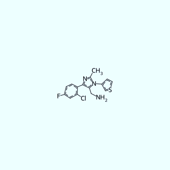 Cc1nc(-c2ccc(F)cc2Cl)c(CN)n1-c1ccsc1